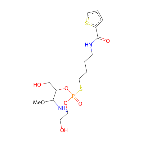 COC(N)C(CO)OP(=O)(OCCO)SCCCCNC(=O)c1cccs1